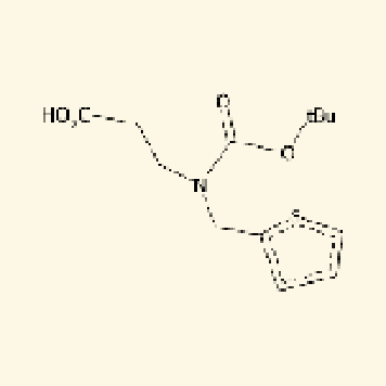 CC(C)(C)OC(=O)N(CCC(=O)O)Cc1cccs1